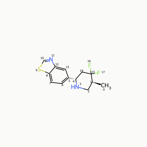 C[C@H]1CN[C@H](c2ccc3scnc3c2)CC1(F)F